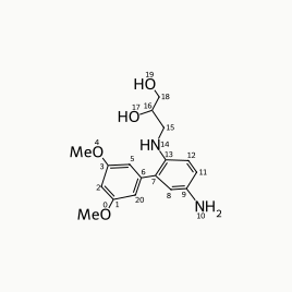 COc1cc(OC)cc(-c2cc(N)ccc2NCC(O)CO)c1